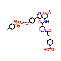 COC(=O)CC(NC(=O)[C@@H]1CCCN(C(=O)CCC2CCN(C(=O)O)CC2)C1)c1cncc(-c2ccc(OCCOS(=O)(=O)c3ccc(C)cc3)cc2)c1